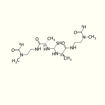 [2H]C(=O)N(C)CCNC(=O)[C@H](C)NC(S)N[C@H](C)C(=O)NCCN(C)C([2H])=O